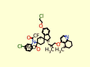 COC(=O)C1(N(C(=O)C(F)(F)F)c2cccc(Cl)c2)CCC2(CC1)c1cc(OCCCl)ccc1C[C@@H]2C[C@@H](C)COc1ccnc2c1[C@H](C)CCC2